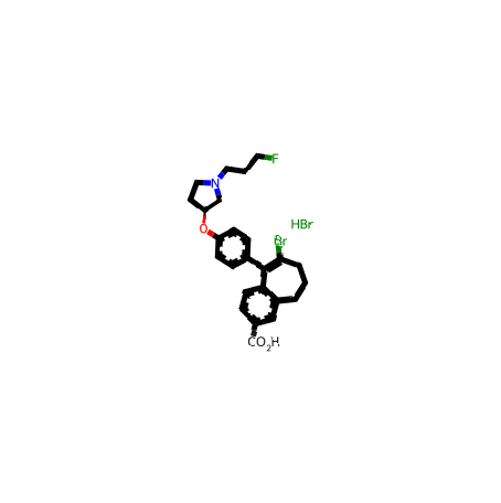 Br.O=C(O)c1ccc2c(c1)CCCC(Br)=C2c1ccc(O[C@H]2CCN(CCCF)C2)cc1